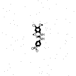 COc1cc(NC(=S)Nc2ccc([N+](=O)[O-])cc2)c(OC)cc1Cl